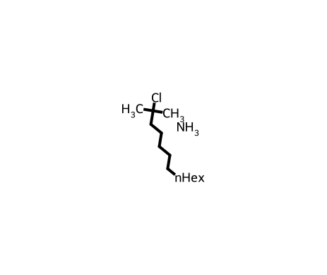 CCCCCCCCCCCC(C)(C)Cl.N